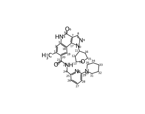 Cc1cc2[nH]c(=O)c3cnn(C4CCOCC4)c3c2cc1C(=O)NCc1cccc(N2CCCCC2)n1